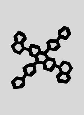 c1ccc(-c2ccc(-c3c4ccc(N5CCCc6ccccc65)cc4c(-c4ccc(-c5ccccc5)cc4)c4ccc(N5CCCc6ccccc65)cc34)cc2)cc1